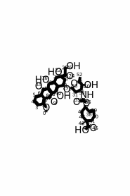 COc1cccc2c1C(=O)c1c(O)c3c(c(O)c1C2=O)C[C@@](O)(C(=O)CO)C[C@@H]3O[C@H]1CC(NC(=O)O[C@@H]2/C=C/CC[C@](C)(C(=O)O)CC2)[C@H](O)C(C)O1